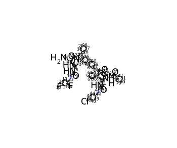 NCC[C@@H]1N[C@H](CNC(=O)/C=C/c2ccc(F)cc2F)CCN(CC(c2ccccc2)c2ccccc2)C1=O.O=C(/C=C/c1ccc(Cl)cc1)NC[C@@H]1CCN(CC(c2ccccc2)c2ccccc2)C(=O)[C@H](CNC(=O)C2CCCCC2)N1